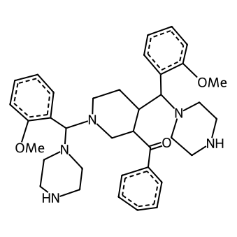 COc1ccccc1C(C1CCN(C(c2ccccc2OC)N2CCNCC2)CC1C(=O)c1ccccc1)N1CCNCC1